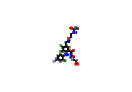 CCC(=O)NCCON=Cc1cc(C(=O)NOCCO)c(Nc2ccc(I)cc2F)c(F)c1F